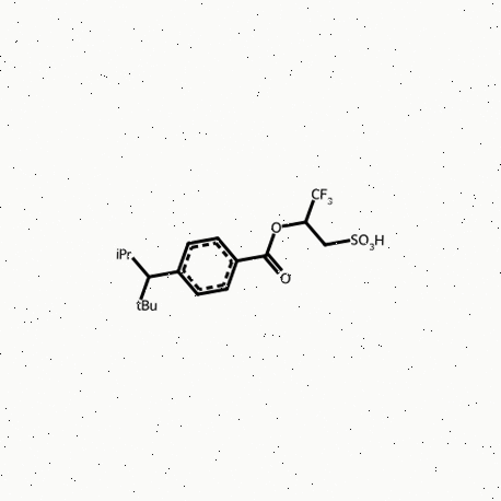 CC(C)C(c1ccc(C(=O)OC(CS(=O)(=O)O)C(F)(F)F)cc1)C(C)(C)C